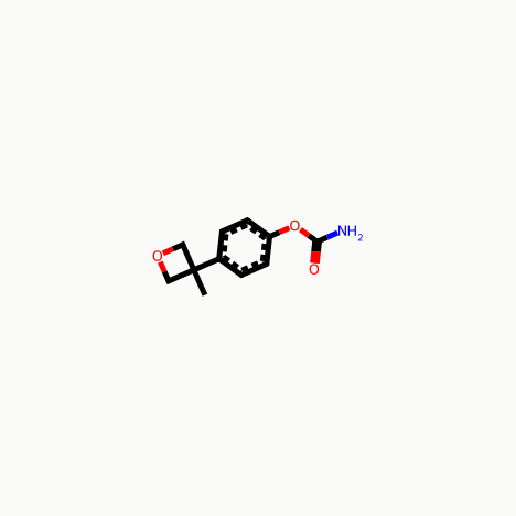 CC1(c2ccc(OC(N)=O)cc2)COC1